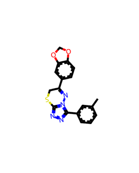 Cc1cccc(-c2nnc3n2N=C(c2ccc4c(c2)OCO4)CS3)c1